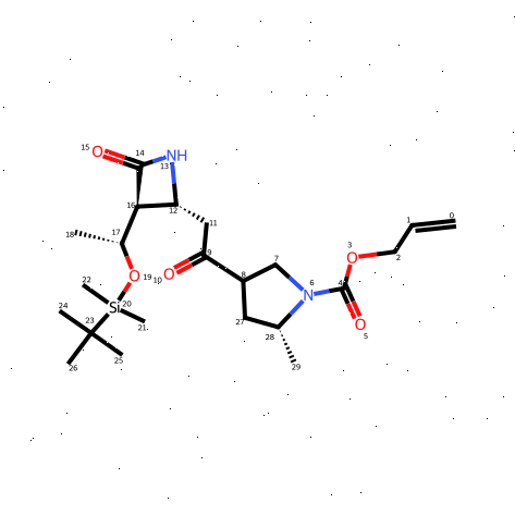 C=CCOC(=O)N1CC(C(=O)C[C@H]2NC(=O)[C@@H]2[C@@H](C)O[Si](C)(C)C(C)(C)C)C[C@H]1C